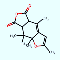 CC1=CC2=C(C)C3C(=O)OC(=O)C3C(C)(C)C2(C)O1